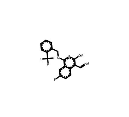 N=Cc1c(O)nc(OCc2ccccc2C(F)(F)F)c2cc(F)ccc12